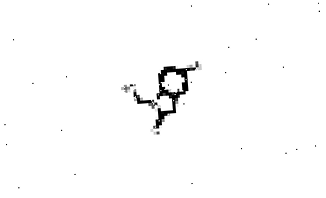 O=C1Cc2cc(Br)ccc2N1CO